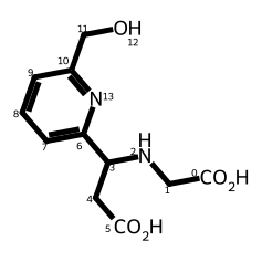 O=C(O)CNC(CC(=O)O)c1cccc(CO)n1